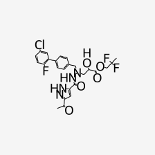 CC(=O)c1cc(C(=O)NN(Cc2ccc(-c3cc(Cl)ccc3F)cc2)C[C@@H](O)C(=O)OCC(C)(F)F)[nH]n1